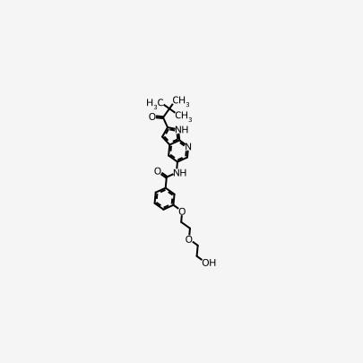 CC(C)(C)C(=O)c1cc2cc(NC(=O)c3cccc(OCCOCCO)c3)cnc2[nH]1